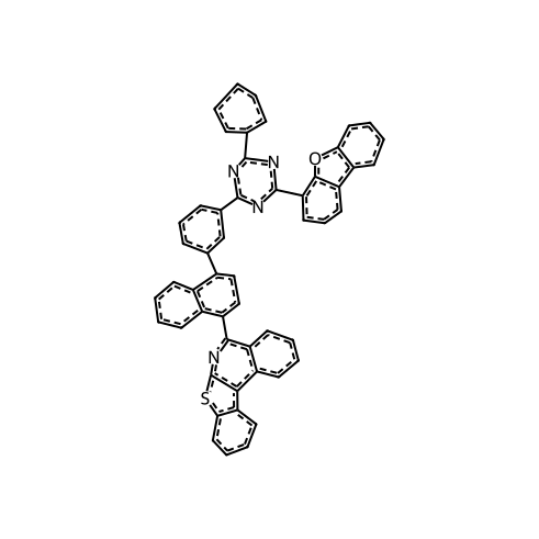 c1ccc(-c2nc(-c3cccc(-c4ccc(-c5nc6sc7ccccc7c6c6ccccc56)c5ccccc45)c3)nc(-c3cccc4c3oc3ccccc34)n2)cc1